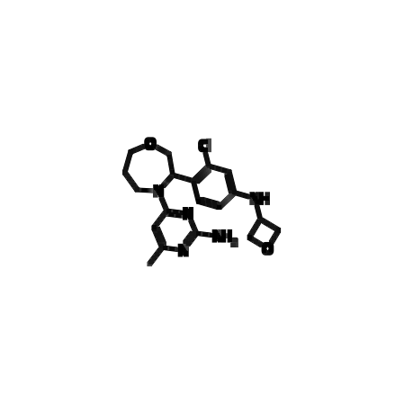 Cc1cc(N2CCCOCC2c2ccc(NC3COC3)cc2Cl)nc(N)n1